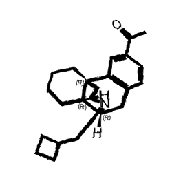 CC(=O)c1ccc2c(c1)[C@@]13CCCC[C@H]1[C@@H](C2)N(CC1CCC1)CC3